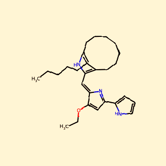 CCCCCc1c2[nH]c(C=C3N=C(c4ccc[nH]4)C=C3OCC)c1CCCCCCC2